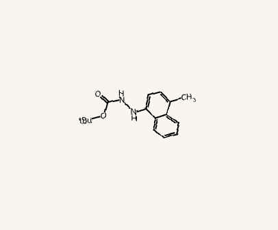 Cc1ccc(NNC(=O)OC(C)(C)C)c2ccccc12